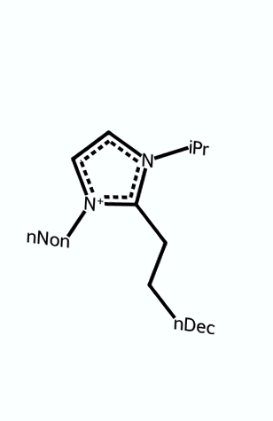 CCCCCCCCCCCCc1n(C(C)C)cc[n+]1CCCCCCCCC